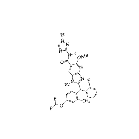 CCn1cnc(N(I)C(=O)c2cc3c(nc2OC)nc(C(c2ccc(OC(F)F)cc2C)c2ccccc2F)n3CC)n1